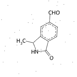 CC1NC(=O)c2ccc(C=O)cc21